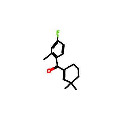 Cc1cc(F)ccc1C(=O)C1=CC(C)(C)CCC1